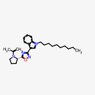 C=C(C)N1CCC[C@H]1c1nc(-c2cn(CCCCCCCCCC)c3ccccc23)no1